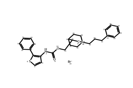 O=C(Nc1ccsc1-c1ccccc1)OCC1C[N+]2(CCCc3ccccc3)CCC1CC2.[Br-]